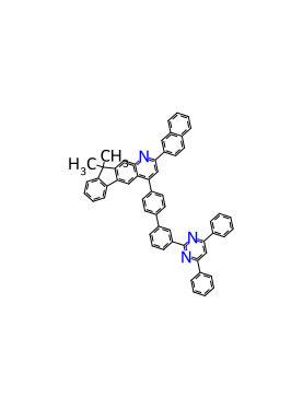 CC1(C)c2ccccc2-c2cc3c(-c4ccc(-c5cccc(-c6nc(-c7ccccc7)cc(-c7ccccc7)n6)c5)cc4)cc(-c4ccc5ccccc5c4)nc3cc21